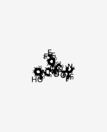 O=C(c1cnccc1C(F)(F)F)N1CCCC(Oc2ccc(C(F)(F)F)cc2)(C(=O)N2CCN(c3ccccc3CO)CC2)C1